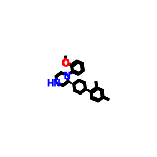 COc1ccccc1N1CCNCC1[C@H]1CC[C@H](c2ccc(C)cc2C)CC1